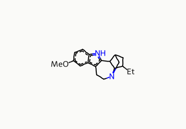 CCC1CC2CN3CCc4c([nH]c5ccc(OC)cc45)C2C13